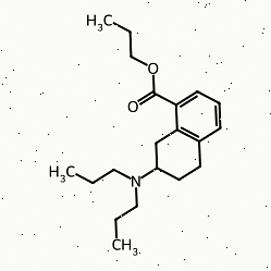 CCCOC(=O)c1cccc2c1CC(N(CCC)CCC)CC2